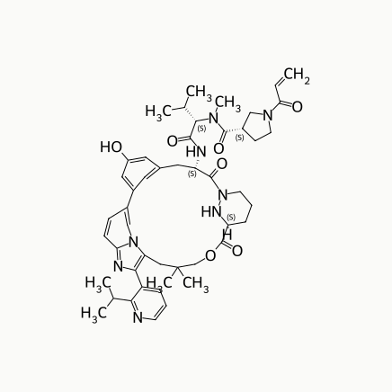 C=CC(=O)N1CC[C@H](C(=O)N(C)[C@H](C(=O)N[C@H]2Cc3cc(O)cc(c3)-c3ccc4nc(-c5cccnc5C(C)C)c(n4c3)CC(C)(C)COC(=O)[C@@H]3CCCN(N3)C2=O)C(C)C)C1